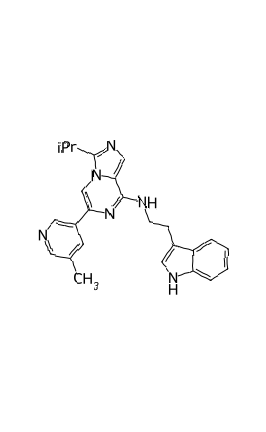 Cc1cncc(-c2cn3c(C(C)C)ncc3c(NCCc3c[nH]c4ccccc34)n2)c1